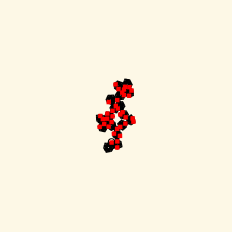 c1ccc(-c2ccc(N(c3ccc(-c4cccc5c4oc4ccccc45)cc3)c3ccc4c(c3)-c3cc(-c5cccc(-c6ccccc6N(c6ccc(-c7ccccc7)cc6)c6ccc7c(c6)-c6ccccc6C7(c6ccccc6)c6ccccc6)c5)ccc3C4(c3ccccc3)c3ccccc3)cc2)cc1